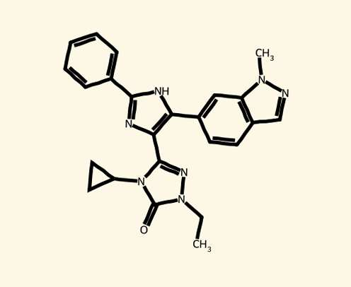 CCn1nc(-c2nc(-c3ccccc3)[nH]c2-c2ccc3cnn(C)c3c2)n(C2CC2)c1=O